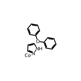 [Co].c1ccc(Oc2ccccc2)cc1.c1cn[nH]c1